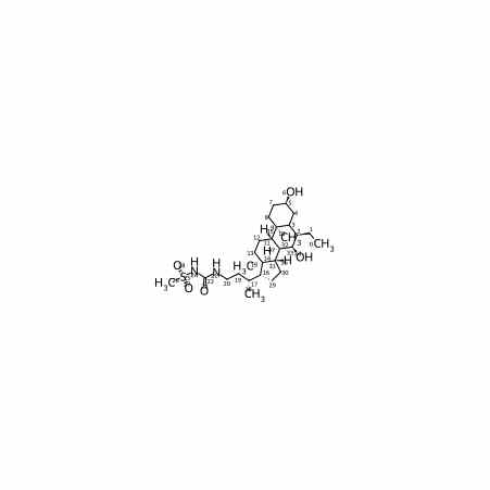 CC[C@@H]1C2C[C@H](O)CC[C@]2(C)[C@H]2CC[C@]3(C)[C@@H]([C@H](C)CCNC(=O)NS(C)(=O)=O)CC[C@H]3[C@@H]2[C@@H]1O